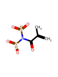 C=C(C)C(=O)N([SH](=O)=O)[SH](=O)=O